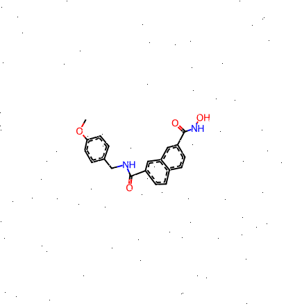 COc1ccc(CNC(=O)c2ccc3ccc(C(=O)NO)cc3c2)cc1